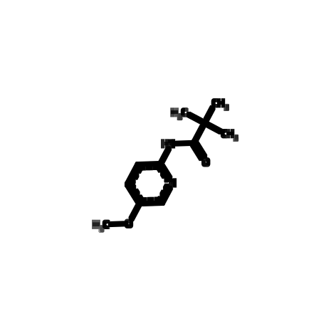 COc1ccc(NC(=O)C(C)(C)C)nc1